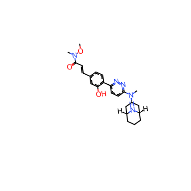 CON(C)C(=O)/C=C/c1ccc(-c2ccc(N(C)[C@@H]3C[C@H]4CCC[C@@H](C3)N4)nn2)c(O)c1